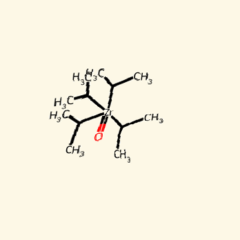 C[CH](C)[Zr](=[O])([CH](C)C)([CH](C)C)[CH](C)C